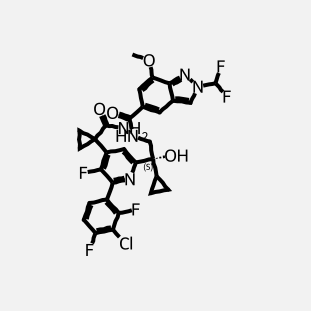 COc1cc(C(=O)NC[C@](O)(c2cc(C3(C(N)=O)CC3)c(F)c(-c3ccc(F)c(Cl)c3F)n2)C2CC2)cc2cn(C(F)F)nc12